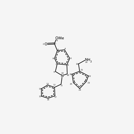 COC(=O)c1ccc2c(c1)CN(Cc1ccccc1)C2.NCc1ccccc1